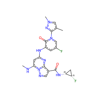 CNc1cc(Nc2cc(F)cn(-c3nn(C)cc3C)c2=O)nc2c(C(=O)N[C@@H]3C[C@@H]3F)cnn12